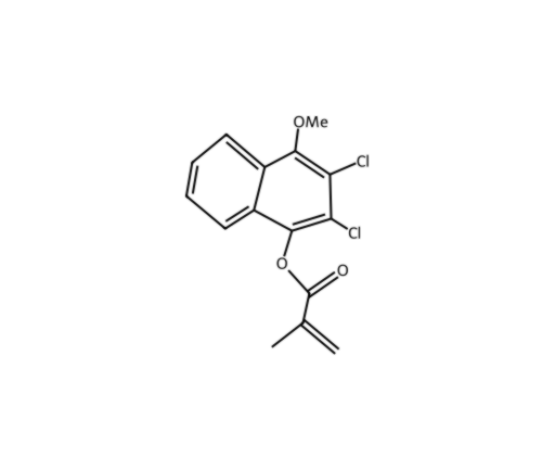 C=C(C)C(=O)Oc1c(Cl)c(Cl)c(OC)c2ccccc12